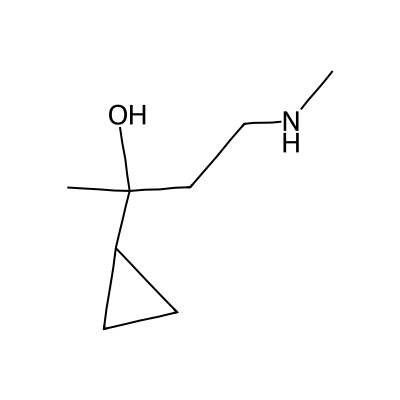 CNCCC(C)(O)C1CC1